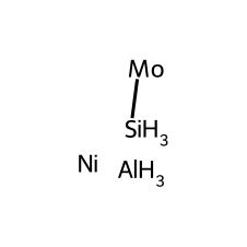 [AlH3].[Ni].[SiH3][Mo]